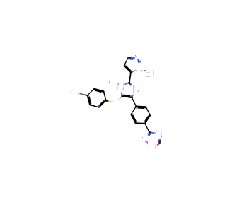 CCn1nccc1-c1nc(-c2ccc(-c3ncon3)cc2)c(Sc2ccc(Cl)cc2)n1C